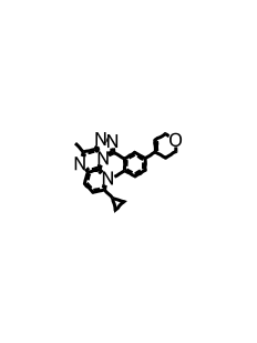 Cc1ccc(C2=CCOCC2)cc1-c1nnc2c(C)nc3ccc(C4CC4)nc3n12